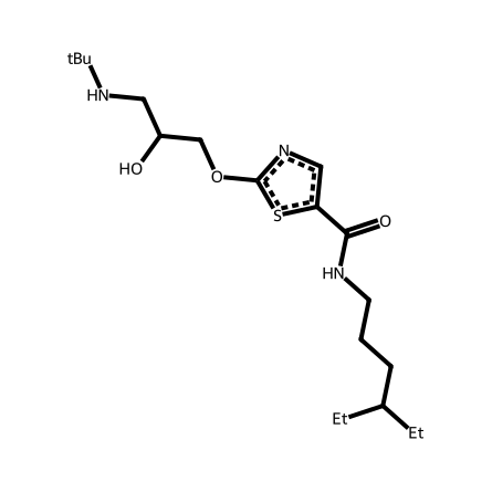 CCC(CC)CCCNC(=O)c1cnc(OCC(O)CNC(C)(C)C)s1